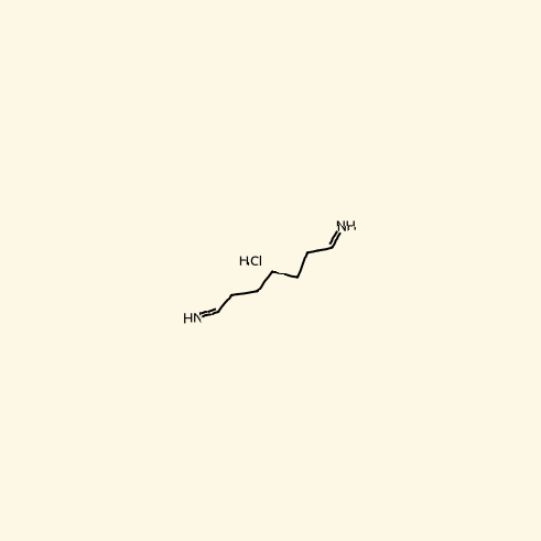 Cl.N=CCCCCCC=N